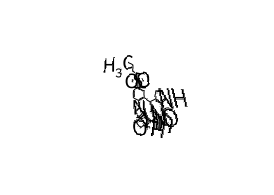 [2H]C([2H])([2H])n1cc(-c2cc(S(=O)(=O)CCCC)ccc2N2CC3(COC3)C2)c2cc[nH]c2c1=O